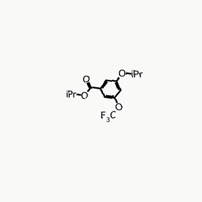 CC(C)OC(=O)c1cc(OC(C)C)cc(OC(F)(F)F)c1